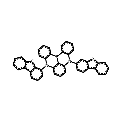 c1ccc2c(c1)B1c3ccccc3N(c3cccc4c3oc3ccccc34)c3cccc(c31)N2c1ccc2c(c1)sc1ccccc12